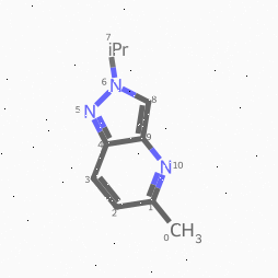 Cc1ccc2nn(C(C)C)cc2n1